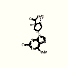 CNC(=O)[C@@]1(C)C[C@@H](n2cnc3c(NC)nc(Cl)nc32)C[C@@H]1O